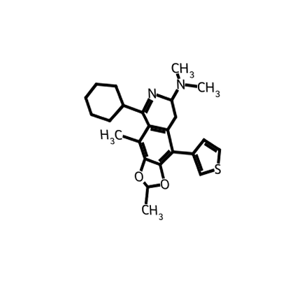 Cc1c2c(c(-c3ccsc3)c3c1C(C1CCCCC1)=NC(N(C)C)C3)OC(C)O2